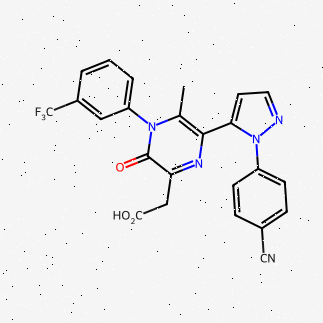 Cc1c(-c2ccnn2-c2ccc(C#N)cc2)nc(CC(=O)O)c(=O)n1-c1cccc(C(F)(F)F)c1